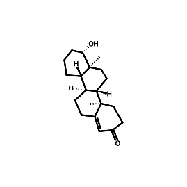 C[C@]12CC[C@H]3[C@@H](CCC4=CC(=O)CC[C@@]43C)[C@@H]1CCC[C@@H]2O